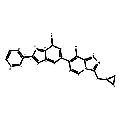 FC1C=C(c2ccn3c(CC4CC4)nnc3c2Cl)C=C2C=C(c3cccnc3)N=C21